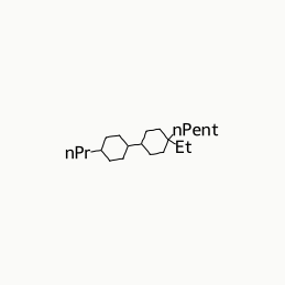 CCCCCC1(CC)CCC(C2CCC(CCC)CC2)CC1